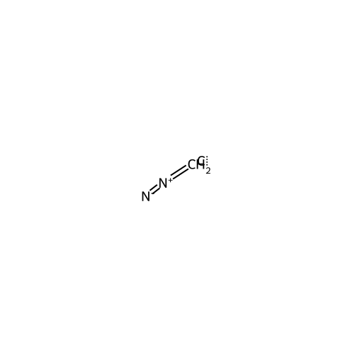 C=[N+]=[N-].[C]